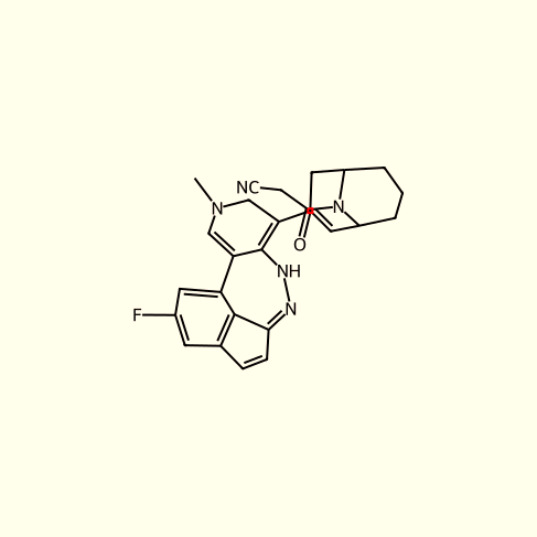 CN1C=C2C(=C(C3=CC4CCCC(C3)N4C(=O)CC#N)C1)NN=C1C=Cc3cc(F)cc2c31